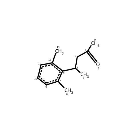 CC(=O)CC(C)c1c(C)cccc1C